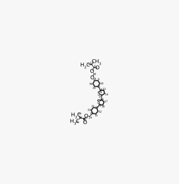 C=C(C)C(=O)OCOc1ccc(-c2ccc(-c3ccc(-c4ccc(COC(=O)C(=C)C)cc4)s3)s2)cc1